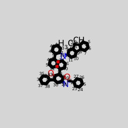 CC1(C)c2ccccc2-c2ccc(N(c3ccc(-c4c5oc(-c6ccccc6)nc5cc5c4oc4ccccc45)cc3)c3ccccc3-c3ccccc3)cc21